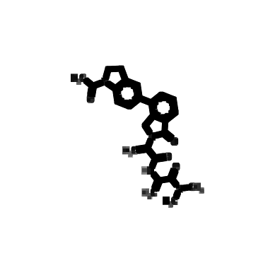 C=C(NC(=O)C(=C)N1Cc2c(cccc2-c2ccc3c(c2)CCN3C(C)=O)C1=O)C(=O)N(C)C